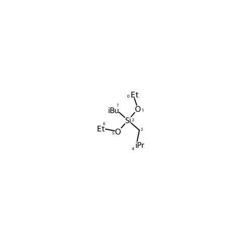 CCO[Si](CC(C)C)(OCC)C(C)CC